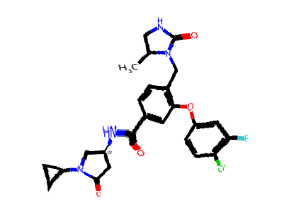 CC1CNC(=O)N1Cc1ccc(C(=O)N[C@H]2CC(=O)N(C3CC3)C2)cc1Oc1ccc(Cl)c(F)c1